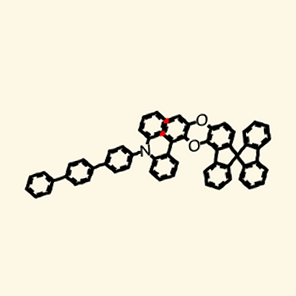 c1ccc(-c2ccc(-c3ccc(N(c4ccccc4)c4ccccc4-c4cccc5c4Oc4c(ccc6c4-c4ccccc4C64c6ccccc6-c6ccccc64)O5)cc3)cc2)cc1